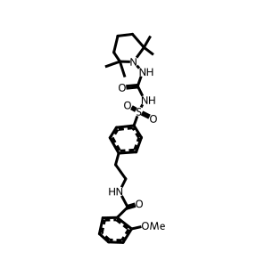 COc1ccccc1C(=O)NCCc1ccc(S(=O)(=O)NC(=O)NN2C(C)(C)CCCC2(C)C)cc1